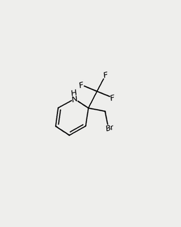 FC(F)(F)C1(CBr)C=CC=CN1